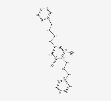 O=c1oc(CCCCc2ccccc2)cc(O)c1CCCc1ccccc1